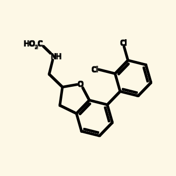 O=C(O)NCC1Cc2cccc(-c3cccc(Cl)c3Cl)c2O1